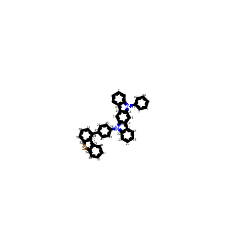 c1ccc(-n2c3ccccc3c3cc4c(cc32)c2ccccc2n4-c2ccc(-c3cccc4sc5ccccc5c34)cc2)cc1